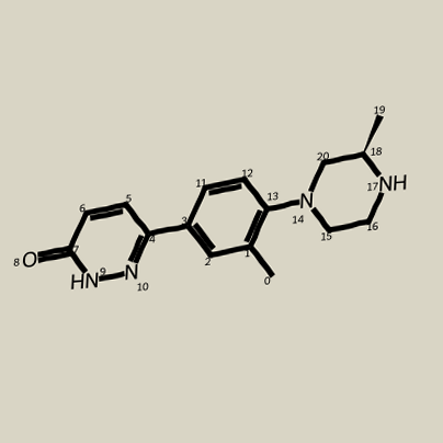 Cc1cc(-c2ccc(=O)[nH]n2)ccc1N1CCN[C@H](C)C1